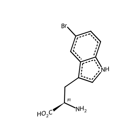 N[C@H](Cc1c[nH]c2ccc(Br)cc12)C(=O)O